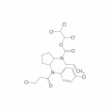 C=CCN(C(=O)OC(Cl)C(Cl)Cl)C1CCCC1N(C(=O)CCCl)c1ccc(Cl)cc1